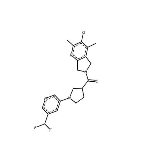 Cc1nc2c(c(C)c1Cl)CN(C(=O)C1CCN(c3cncc(C(F)F)c3)C1)C2